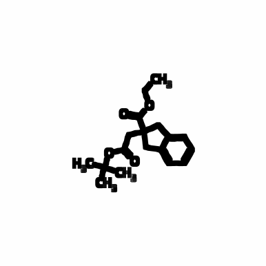 CCOC(=O)C1(CC(=O)OC(C)(C)C)Cc2ccccc2C1